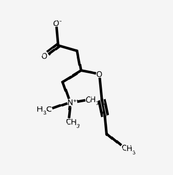 CCC#COC(CC(=O)[O-])C[N+](C)(C)C